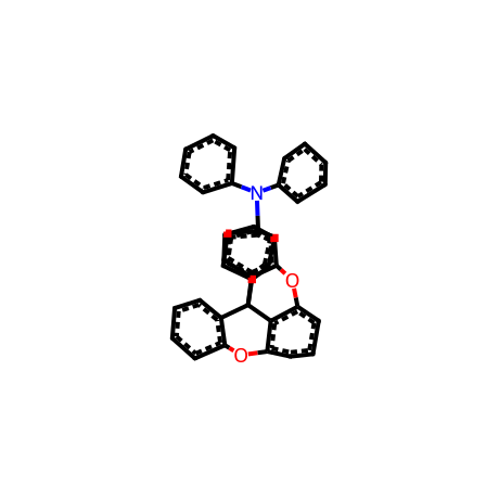 c1ccc(N(c2ccccc2)c2ccc(C34c5ccccc5Oc5cccc(c53)Oc3ccccc34)cc2)cc1